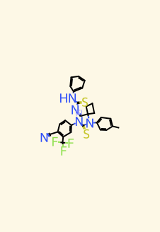 Cc1ccc(N2C(=S)N(c3ccc(C#N)c(C(F)(F)F)c3)/C(=N/C(=S)Nc3ccccc3)C23CCC3)cc1